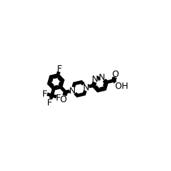 O=C(O)c1ccc(N2CCN(C(=O)c3cc(F)ccc3C(F)(F)F)CC2)nn1